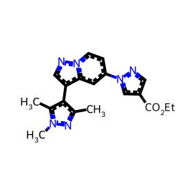 CCOC(=O)c1cnn(-c2ccn3ncc(-c4c(C)nn(C)c4C)c3c2)c1